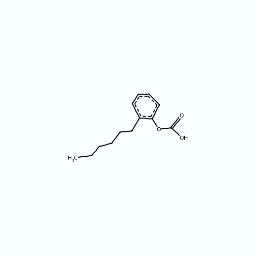 CCCCCCc1ccccc1OC(=O)O